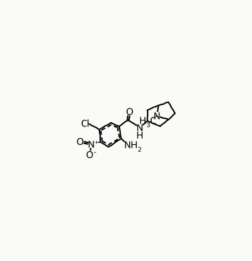 CN1C2CCC1CC(NC(=O)c1cc(Cl)c([N+](=O)[O-])cc1N)C2